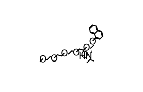 COCCOCCOCCOCC(=O)O[C@@H](CNC(C)C)COc1cccc2ccccc12